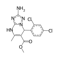 COC(=O)C1=C(C)Nc2nc(N)nn2C1c1ccc(Cl)cc1Cl